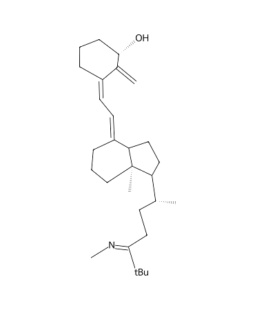 C=C1/C(=C\C=C2/CCC[C@@]3(C)C2CCC3[C@H](C)CCC(=NC)C(C)(C)C)CCC[C@@H]1O